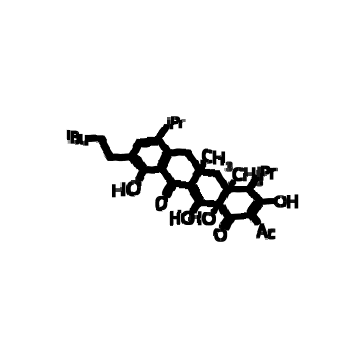 CCC(C)CCc1cc(C(C)C)c2c(c1O)C(=O)C1=C(O)[C@@]3(O)C(=O)C(C(C)=O)=C(O)C(C(C)C)[C@@]3(C)C[C@@]1(C)C2